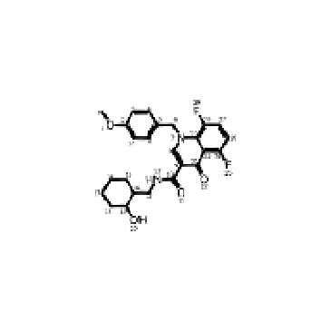 COc1ccc(Cn2cc(C(=O)NCC3CCCCC3O)c(=O)c3c(F)ccc(F)c32)cc1